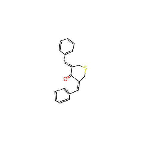 O=C1/C(=C/c2ccccc2)CSC/C1=C/c1ccccc1